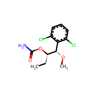 CC[C@H](OC(N)=O)[C@@H](OC)c1c(Cl)cccc1Cl